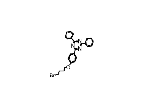 BrCCCCOc1ccc(-c2nc(-c3ccccc3)nc(-c3ccccc3)n2)cc1